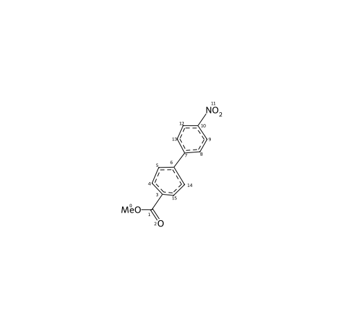 COC(=O)c1ccc(-c2ccc([N+](=O)[O-])cc2)cc1